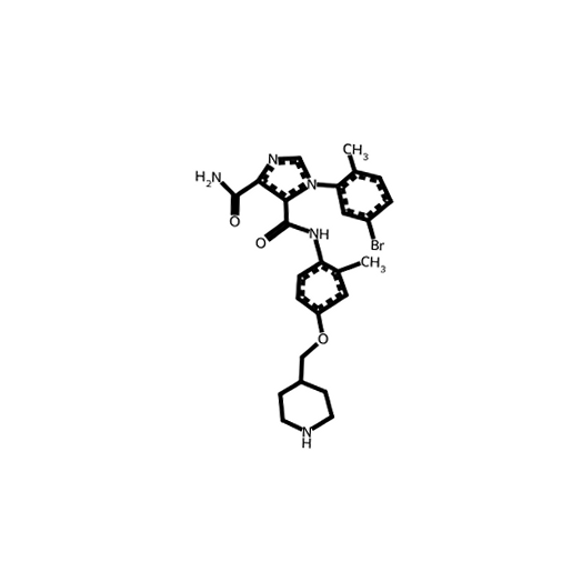 Cc1cc(OCC2CCNCC2)ccc1NC(=O)c1c(C(N)=O)ncn1-c1cc(Br)ccc1C